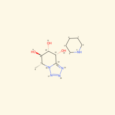 C1CCNCC1.C[C@@H]1[C@@H](O)[C@H](O)[C@H](O)c2nnnn21